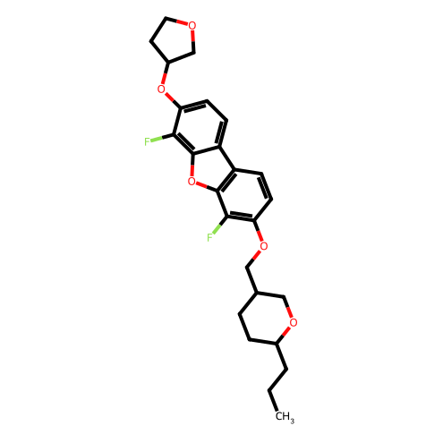 CCCC1CCC(COc2ccc3c(oc4c(F)c(OC5CCOC5)ccc43)c2F)CO1